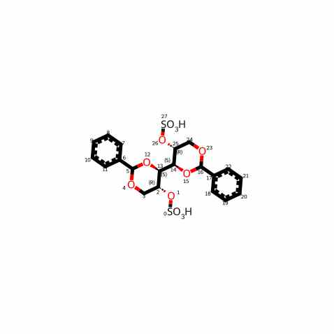 O=S(=O)(O)O[C@@H]1COC(c2ccccc2)O[C@H]1[C@@H]1OC(c2ccccc2)OC[C@H]1OS(=O)(=O)O